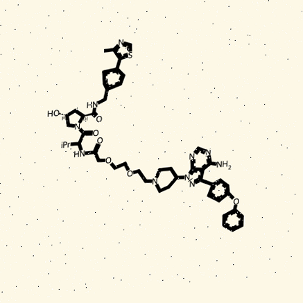 Cc1ncsc1-c1ccc(CNC(=O)[C@@H]2C[C@@H](O)CN2C(=O)C(NC(=O)COCCOCCN2CCC(n3nc(-c4ccc(Oc5ccccc5)cc4)c4c(N)ncnc43)CC2)C(C)C)cc1